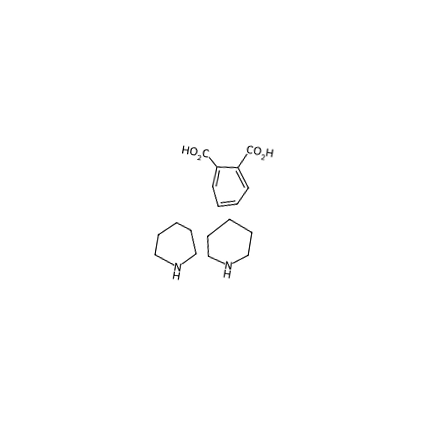 C1CCNCC1.C1CCNCC1.O=C(O)c1ccccc1C(=O)O